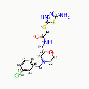 NC1=NNC(SCC(=O)NC[C@H]2CN(Cc3cccc(Cl)c3)CCO2)S1